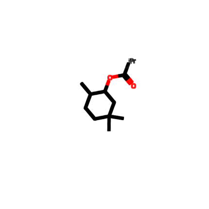 CC(C)C(=O)OC1CC(C)(C)CCC1C